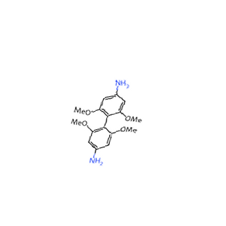 COc1cc(N)cc(OC)c1-c1c(OC)cc(N)cc1OC